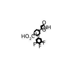 O=C(O)N1CC[C@@H](c2cc(=O)[nH]o2)C[C@@H]1c1cc(F)c(F)c(F)c1